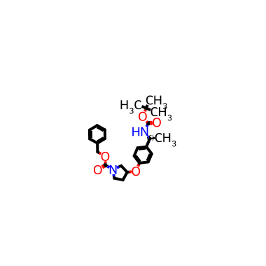 C[C@H](NC(=O)OC(C)(C)C)c1ccc(OC2CCN(C(=O)OCc3ccccc3)C2)cc1